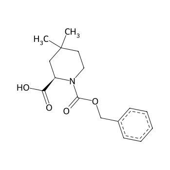 CC1(C)CCN(C(=O)OCc2ccccc2)[C@@H](C(=O)O)C1